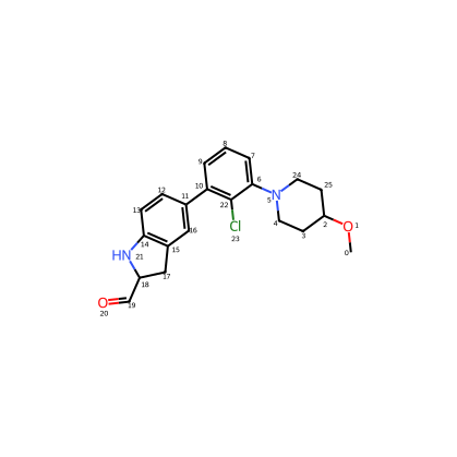 COC1CCN(c2cccc(-c3ccc4c(c3)CC(C=O)N4)c2Cl)CC1